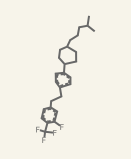 CC(C)CCCC1CCC(c2ccc(CCc3ccc(C(F)(F)F)c(F)c3)cc2)CC1